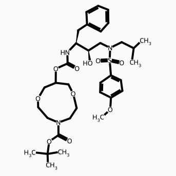 COc1ccc(S(=O)(=O)N(CC(C)C)C[C@@H](O)[C@H](Cc2ccccc2)NC(=O)OC2COCCN(C(=O)OC(C)(C)C)CCOC2)cc1